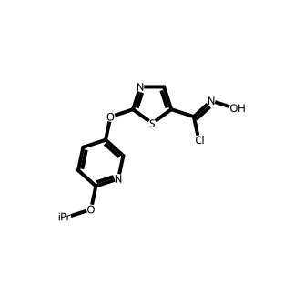 CC(C)Oc1ccc(Oc2ncc(/C(Cl)=N/O)s2)cn1